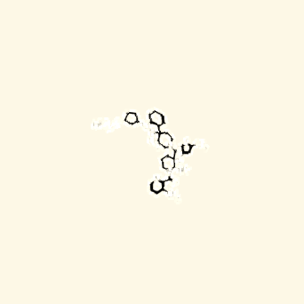 CCC[C@H]1N(C(=O)c2ncccc2C(F)(F)F)CCC[C@@]1(Oc1csc(C(F)(F)F)c1)C(=O)N1CCC(N)(C2=C(O[C@H]3CC[C@@H](C(=O)O)C3)CCC=C2)CC1